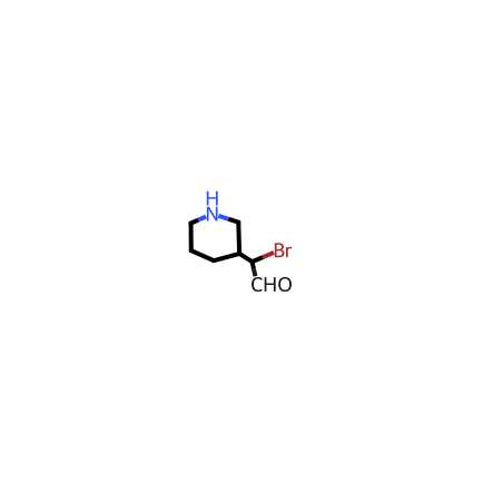 O=CC(Br)C1CCCNC1